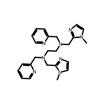 Cn1ccnc1CN(CCN(Cc1ccccn1)Cc1nccn1C)Cc1ccccn1